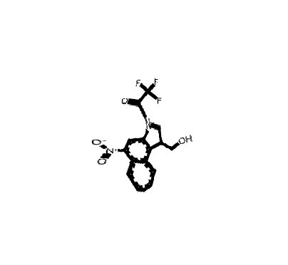 O=C(N1CC(CO)c2c1cc([N+](=O)[O-])c1ccccc21)C(F)(F)F